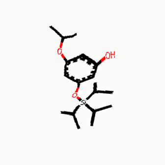 CC(C)Oc1cc(O)cc(O[Si](C(C)C)(C(C)C)C(C)C)c1